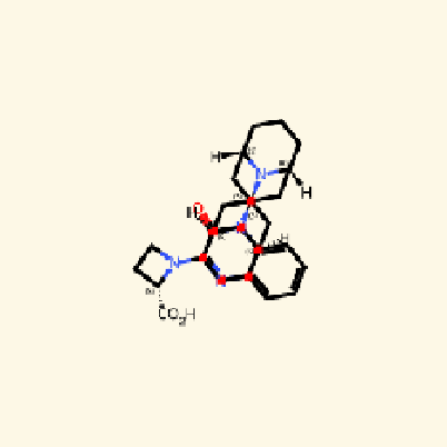 O=C(O)[C@@H]1CCN1c1nc2ccccc2n([C@@H]2C[C@H]3CCC[C@@H](C2)N3[C@@H]2C[C@@H]3CCC[C@@H](C3)C2)c1=O